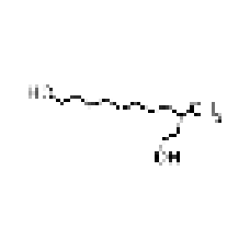 CC(CCO)CCCCCCCCO